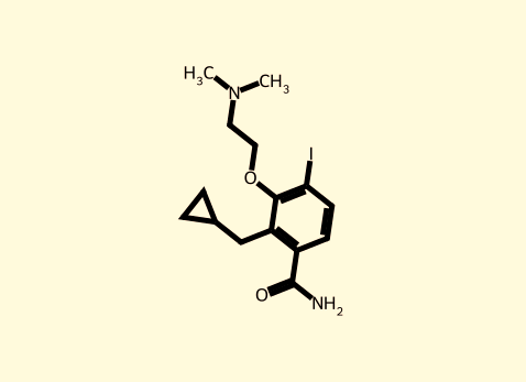 CN(C)CCOc1c(I)ccc(C(N)=O)c1CC1CC1